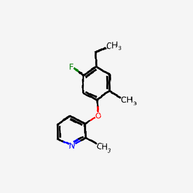 CCc1cc(C)c(Oc2cccnc2C)cc1F